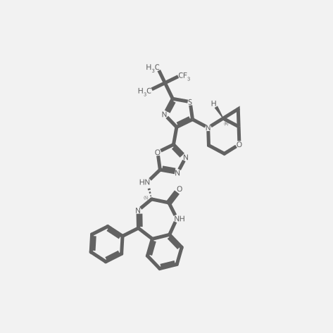 CC(C)(c1nc(-c2nnc(N[C@H]3N=C(c4ccccc4)c4ccccc4NC3=O)o2)c(N2CCOC3C[C@H]32)s1)C(F)(F)F